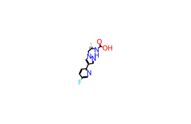 C[C@@H](Cn1cc(-c2ccc(F)cn2)cn1)NC(=O)O